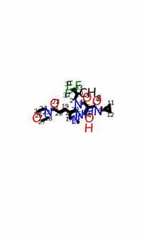 CC(Cn1c(=O)c(C(=O)NC2CC2)c(O)n2ncc(/C=C/C(=O)N3CCOCC3)c12)C(F)(F)F